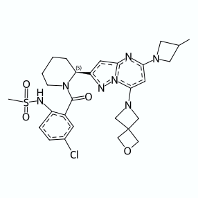 CC1CN(c2cc(N3CC4(COC4)C3)n3nc([C@@H]4CCCCN4C(=O)c4cc(Cl)ccc4NS(C)(=O)=O)cc3n2)C1